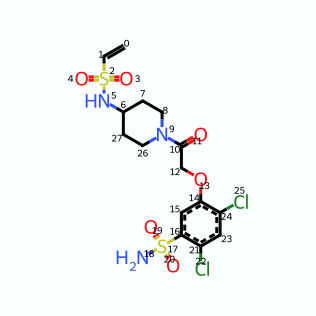 C=CS(=O)(=O)NC1CCN(C(=O)COc2cc(S(N)(=O)=O)c(Cl)cc2Cl)CC1